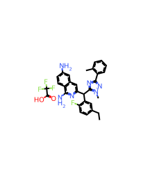 CCc1ccc(F)c(C(c2cc3cc(N)ccc3c(N)n2)c2nc(-c3ccccc3C)nn2C)c1.O=C(O)C(F)(F)F